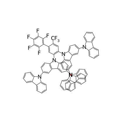 Fc1c(F)c(F)c(-c2cc(-n3c4ccc(-n5c6ccccc6c6ccccc65)cc4c4cc(-n5c6ccccc6c6ccccc65)ccc43)c(-n3c4ccc(-n5c6ccccc6c6ccccc65)cc4c4cc(-n5c6ccccc6c6ccccc65)ccc43)cc2C(F)(F)F)c(F)c1F